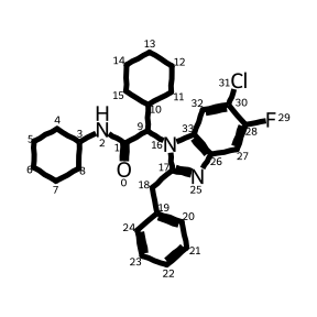 O=C(NC1CCCCC1)C(C1CCCCC1)n1c(Cc2ccccc2)nc2cc(F)c(Cl)cc21